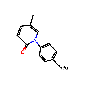 CCCCc1ccc(-n2cc(C)ccc2=O)cc1